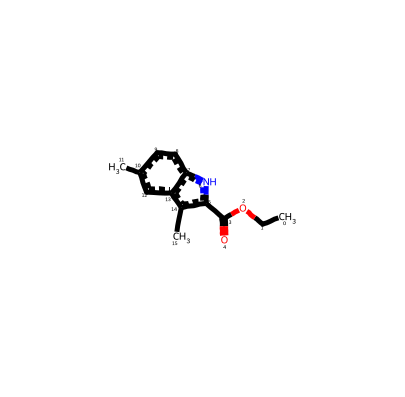 CCOC(=O)c1[nH]c2ccc(C)cc2c1C